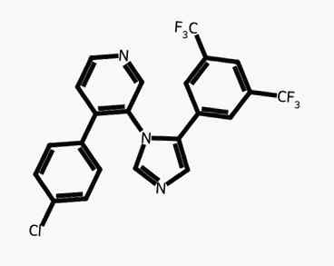 FC(F)(F)c1cc(-c2cncn2-c2cnccc2-c2ccc(Cl)cc2)cc(C(F)(F)F)c1